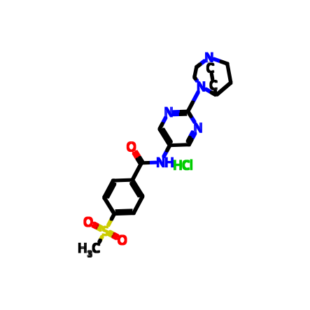 CS(=O)(=O)c1ccc(C(=O)Nc2cnc(N3CCN4CCC3CC4)nc2)cc1.Cl